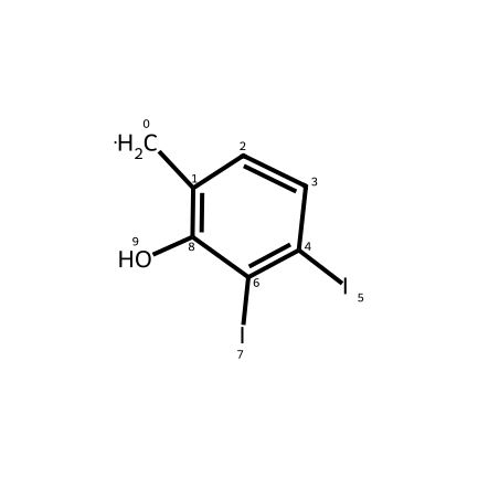 [CH2]c1ccc(I)c(I)c1O